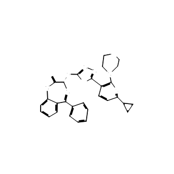 O=C1Nc2ccccc2C(c2ccccc2)=N[C@@H]1Nc1nnc(-c2ccc(C3CC3)nc2N2CCOCC2)o1